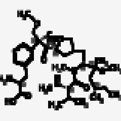 CC[C@H](C)C[C@@](C)(OC)[C@H](CC1CN[C@@H](C(=O)[C@](C)(COC)c2cccc(C[C@H](N)C(=O)O)c2)C1)N(C)C(=O)[C@@H](NC)C(C)C